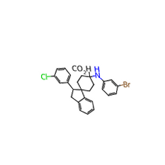 O=C(O)C1(Nc2cccc(Br)c2)CCC2(CC1)c1ccccc1CC2c1cccc(Cl)c1